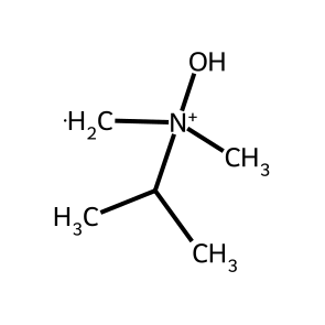 [CH2][N+](C)(O)C(C)C